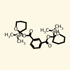 C[SiH](C)C1(OC(=O)c2cccc(C(=O)OC3([SiH](C)C)CCCCO3)c2)CCCCO1